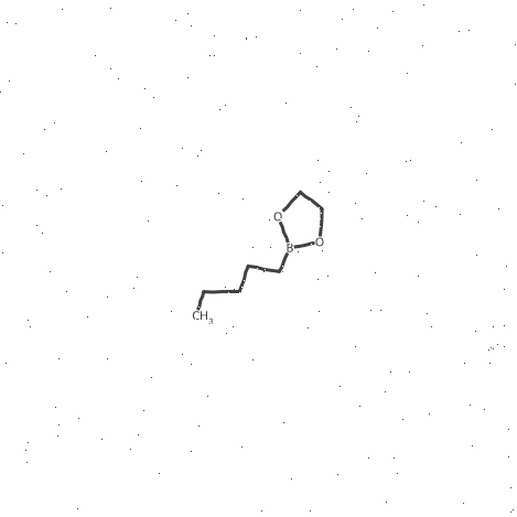 CCCC[CH]B1OCCO1